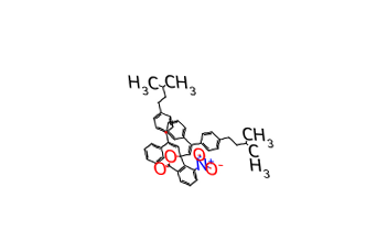 CC(C)CCc1ccc(C(=CC2(C=C(c3ccccc3)c3ccc(CCC(C)C)cc3)OC(=O)c3cccc([N+](=O)[O-])c32)c2ccccc2)cc1